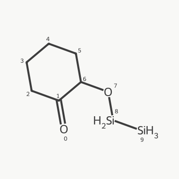 O=C1CCCCC1O[SiH2][SiH3]